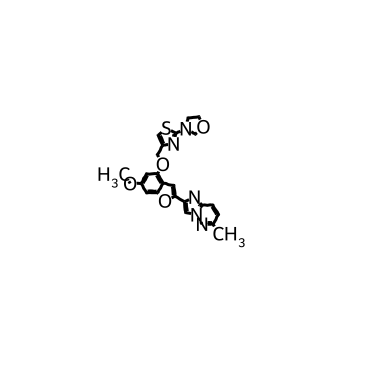 COc1cc(OCc2csc(N3CCOC3)n2)c2cc(-c3cn4nc(C)ccc4n3)oc2c1